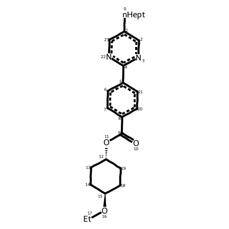 CCCCCCCc1cnc(-c2ccc(C(=O)O[C@H]3CC[C@H](OCC)CC3)cc2)nc1